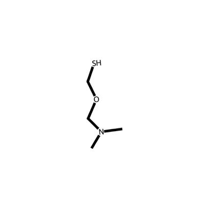 CN(C)COCS